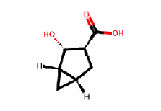 O=C(O)[C@H]1C[C@@H]2C[C@@H]2[C@@H]1O